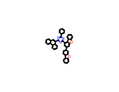 c1ccc(-c2nc(-c3cc4ccccc4c4ccccc34)nc(-c3cc(-c4ccc5c(c4)oc4ccccc45)cc4oc5ccccc5c34)n2)cc1